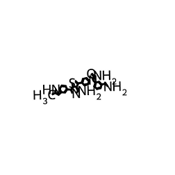 Cc1cc2cc(-c3cnc(N)c4c(-c5ccc(N(C(N)=O)c6cccc(CN)c6)cc5)csc34)ccc2[nH]1